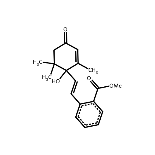 COC(=O)c1ccccc1/C=C/C1(O)C(C)=CC(=O)CC1(C)C